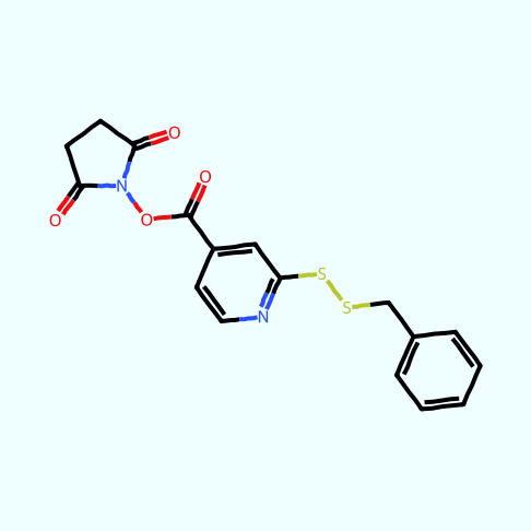 O=C(ON1C(=O)CCC1=O)c1ccnc(SSCc2ccccc2)c1